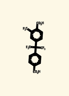 O=C(O)c1ccc(C(c2ccc(C(=O)O)c(C(F)(F)F)c2)(C(F)(F)F)C(F)(F)F)cc1